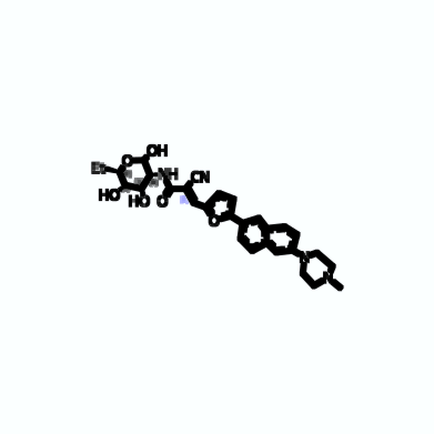 CC[C@H]1OC(O)[C@H](NC(=O)/C(C#N)=C/c2ccc(-c3ccc4cc(N5CCN(C)CC5)ccc4c3)o2)[C@@H](O)[C@@H]1O